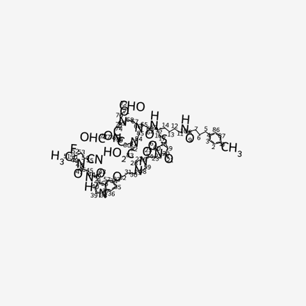 Cc1ccc(CCCC(=O)NCCCC[C@@H](CSC2CC(=O)N(CC(=O)N3CCN(CCCOc4ccc5nccc(C(=O)NCC(=O)N6CC(C)(F)C[C@@H]6C#N)c5c4)CC3)C2=O)NC(=O)CN2CCN(COC=O)CCN(COC=O)CCN(CC(=O)O)CC2)cc1